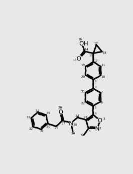 Cc1noc(-c2ccc(-c3ccc(C4(C(=O)O)CC4)cc3)cc2)c1CN(C)C(=O)Cc1ccccc1